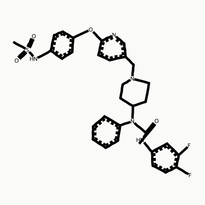 CS(=O)(=O)Nc1ccc(Oc2ccc(CN3CCC(N(C(=O)Nc4ccc(F)c(F)c4)c4ccccc4)CC3)cn2)cc1